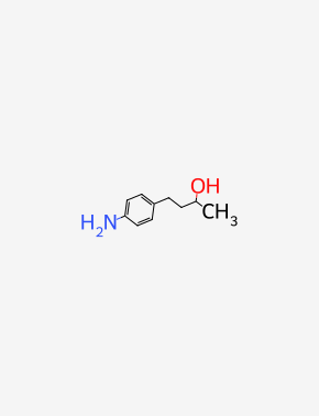 CC(O)CCc1ccc(N)cc1